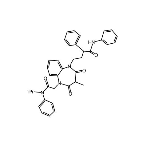 CC1C(=O)N(CCC(C(=O)Nc2ccccc2)c2ccccc2)c2ccccc2N(CC(=O)N(c2ccccc2)C(C)C)C1=O